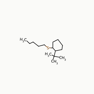 CCCCCSC1CCCCC1C(C)(C)C